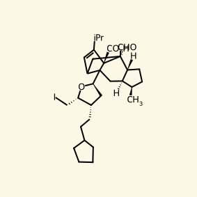 CC(C)C1=CC2CC3(C=O)[C@@H]4CC[C@@H](C)[C@H]4CC2([C@H]2C[C@H](CCC4CCCC4)[C@H](CI)O2)[C@]13C(=O)O